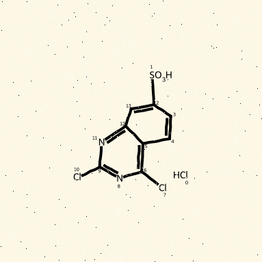 Cl.O=S(=O)(O)c1ccc2c(Cl)nc(Cl)nc2c1